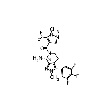 Cn1nc2c(c1-c1cc(F)c(F)c(F)c1)CCN(C(=O)c1cnn(C)c1C(F)F)[C@H]2N